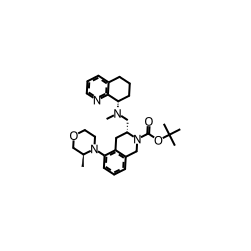 C[C@H]1COCCN1c1cccc2c1C[C@H](CN(C)[C@H]1CCCc3cccnc31)N(C(=O)OC(C)(C)C)C2